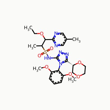 CCOC(c1ncc(C)cn1)C(C)S(=O)(=O)Nc1nnc([C@H]2COCCO2)n1-c1c(OC)cccc1OC